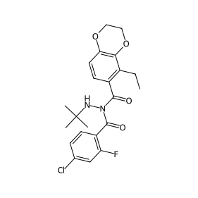 CCc1c(C(=O)N(NC(C)(C)C)C(=O)c2ccc(Cl)cc2F)ccc2c1OCCO2